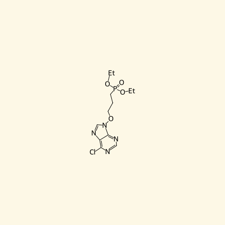 CCOP(=O)(CCCOn1cnc2c(Cl)ncnc21)OCC